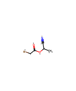 CC(C#N)OC(=O)CBr